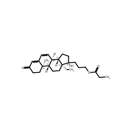 CCC(=O)OCCC[C@]1(O)CC[C@H]2[C@@H]3C=CC4=CC(=O)CC[C@]4(C)[C@H]3CC[C@@]21CC